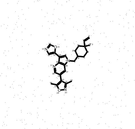 C=CC1(F)CCC(Cn2cc(-c3cnco3)c3ncc(-c4c(C)noc4C)cc32)CC1